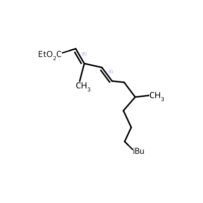 CCOC(=O)/C=C(C)/C=C/CC(C)CCCC(C)CC